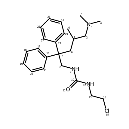 CC(CN(C)C)CC(CNC(=O)NCCCl)(c1ccccc1)c1ccccc1